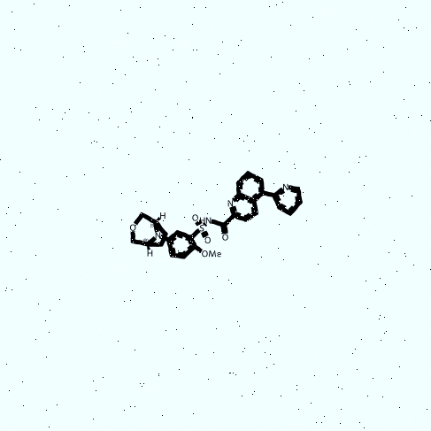 COc1ccc(N2[C@@H]3CC[C@H]2COC3)cc1S(=O)(=O)NC(=O)c1ccc2c(-c3ccccn3)cccc2n1